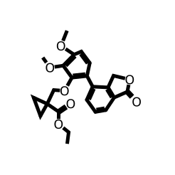 CCOC(=O)C1(COc2c(-c3cccc4c3COC4=O)ccc(OC)c2OC)CC1